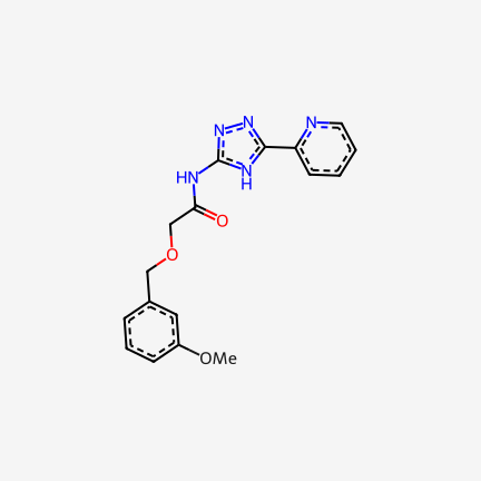 COc1cccc(COCC(=O)Nc2nnc(-c3ccccn3)[nH]2)c1